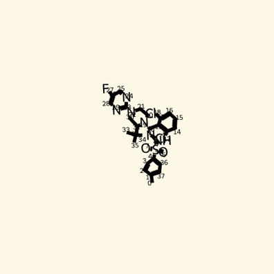 Cc1ccc(S(=O)(=O)N/N=C(\c2c(Cl)cccc2Cl)N2CCN(c3ncc(F)cn3)CC2C(C)(C)C)cc1